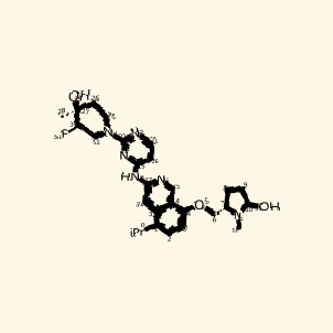 CC(C)c1ccc(OC[C@@H]2CCC(O)N2C)c2cnc(Nc3ccnc(N4CC[C@](C)(O)[C@H](F)C4)n3)cc12